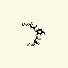 COC(=O)CC(=O)Oc1ccc(C)cc1OC(=O)CC(=O)OC